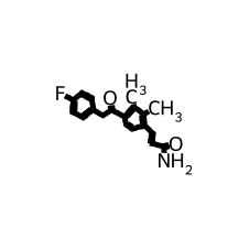 Cc1c(C=CC(N)=O)ccc(C(=O)Cc2ccc(F)cc2)c1C